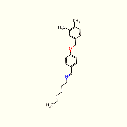 CCCCCC/N=C/c1ccc(OCc2ccc(C)c(C)c2)cc1